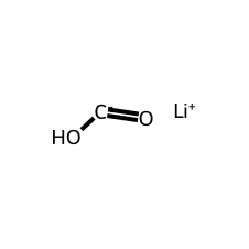 O=[C-]O.[Li+]